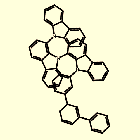 C1=CC(c2ccccc2)=CC(c2cccc(-n3c4ccccc4c4cccc(-n5c6ccccc6c6cccc(-n7c8ccccc8c8ccccc87)c65)c43)c2)C1